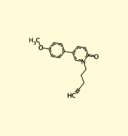 C#CCCCn1cc(-c2ccc(OC)cc2)ccc1=O